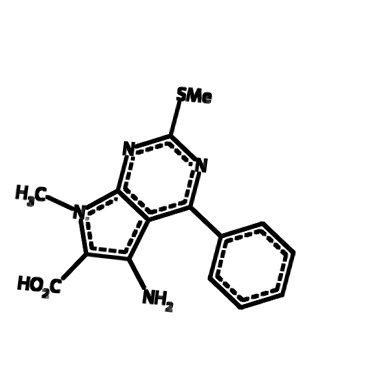 CSc1nc(-c2ccccc2)c2c(N)c(C(=O)O)n(C)c2n1